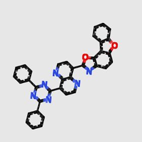 c1ccc(-c2nc(-c3ccccc3)nc(-c3ccnc4c(-c5nc6ccc7oc8ccccc8c7c6o5)ccnc34)n2)cc1